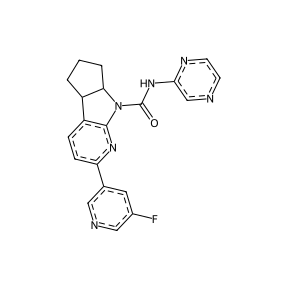 O=C(Nc1cnccn1)N1c2nc(-c3cncc(F)c3)ccc2C2CCCC21